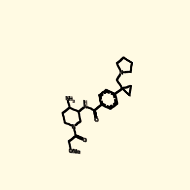 COCC(=O)N1CCC(N)C(NC(=O)c2ccc(C3(CN4CCCC4)CC3)cc2)C1